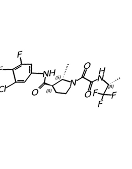 C[C@H]1[C@H](C(=O)Nc2cc(F)c(F)c(Cl)c2)CCN1C(=O)C(=O)N[C@H](C)C(F)(F)F